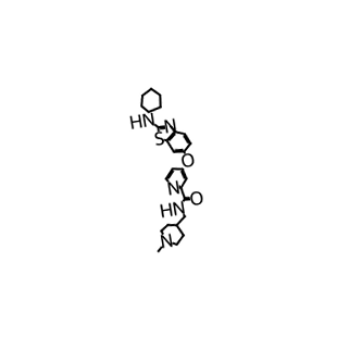 CN1CCC(CNC(=O)c2cc(Oc3ccc4nc(NC5CCCCC5)sc4c3)ccn2)CC1